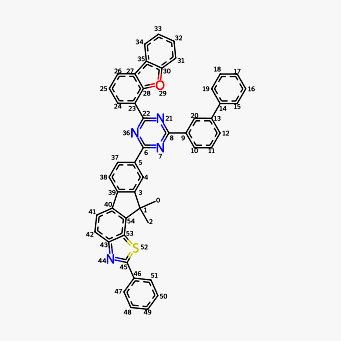 CC1(C)c2cc(-c3nc(-c4cccc(-c5ccccc5)c4)nc(-c4cccc5c4oc4ccccc45)n3)ccc2-c2ccc3nc(-c4ccccc4)sc3c21